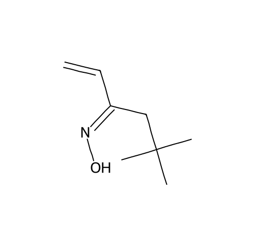 C=CC(CC(C)(C)C)=NO